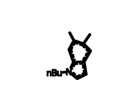 CCCCn1ccc2cc(C)c(C)cc21